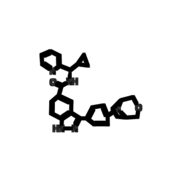 O=C(N[C@@H](c1ccccn1)C1CC1)c1ccc2[nH]nc(-c3ccc(N4C5CCC4COC5)cc3)c2c1